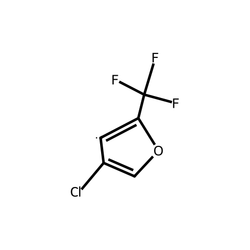 FC(F)(F)c1[c]c(Cl)co1